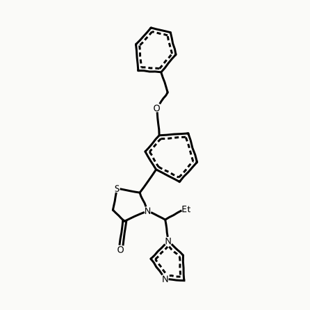 CCC(N1C(=O)CSC1c1cccc(OCc2ccccc2)c1)n1ccnc1